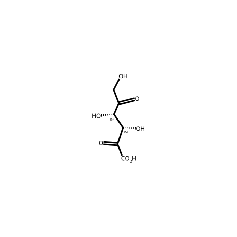 O=C(O)C(=O)[C@@H](O)[C@H](O)C(=O)CO